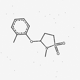 Cc1ccccc1OC1CCS(=O)(=O)N1C